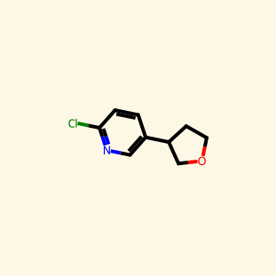 Clc1ccc(C2CCOC2)cn1